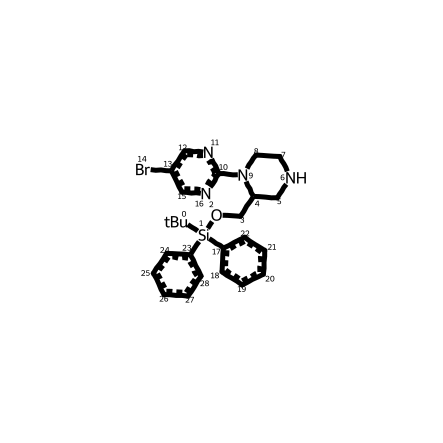 CC(C)(C)[Si](OCC1CNCCN1c1ncc(Br)cn1)(c1ccccc1)c1ccccc1